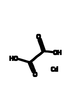 O=C(O)C(=O)O.[Cd]